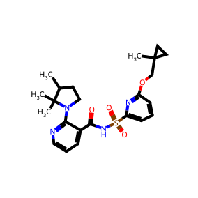 CC1CCN(c2ncccc2C(=O)NS(=O)(=O)c2cccc(OCC3(C)CC3)n2)C1(C)C